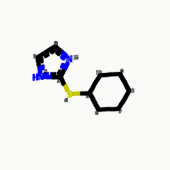 c1c[nH]c(SC2CCCCC2)n1